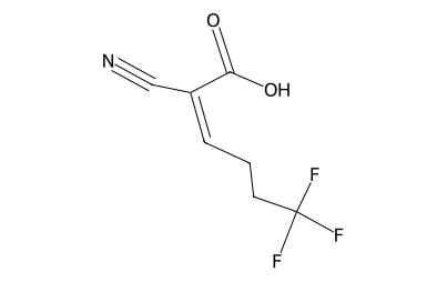 N#CC(=CCCC(F)(F)F)C(=O)O